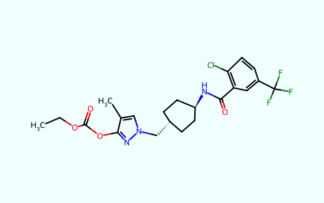 CCOC(=O)Oc1nn(C[C@H]2CC[C@H](NC(=O)c3cc(C(F)(F)F)ccc3Cl)CC2)cc1C